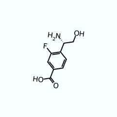 N[C@H](CO)c1ccc(C(=O)O)cc1F